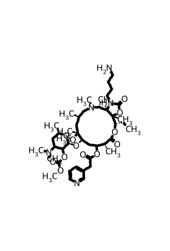 CC[C@@H]1OC(=O)[C@H](C)C(OC(=O)Cc2cccnc2)C[C@@H](O[C@@H]2O[C@H](C)CC(N(C)C)C2OC(=O)OC)[C@](C)(OC)C[C@@H](C)CN(C)[C@H](C)[C@H]2N(CCCCN)C(=O)O[C@]12C